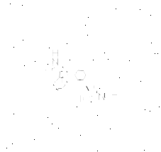 CN1CC[C@@](O)(C#Cc2cccc(-c3nc(C(N)=O)c4cnccn34)c2)C1=O